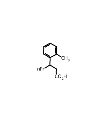 CCCC(CC(=O)O)c1ccccc1C